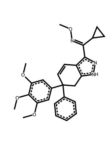 CON=C(c1n[nH]c2c1C=CC(c1ccccc1)(c1cc(OC)c(OC)c(OC)c1)C2)C1CC1